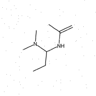 C=C(C)NC(CC)N(C)C